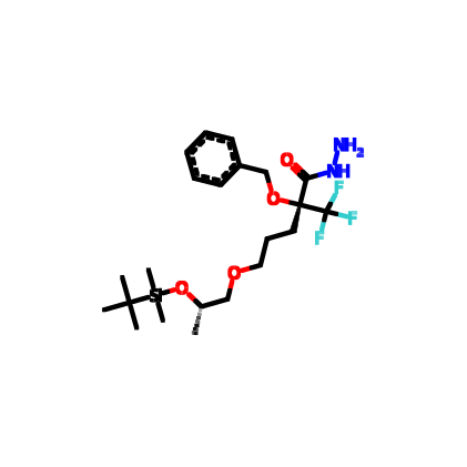 C[C@@H](COCCC[C@@](OCc1ccccc1)(C(=O)NN)C(F)(F)F)O[Si](C)(C)C(C)(C)C